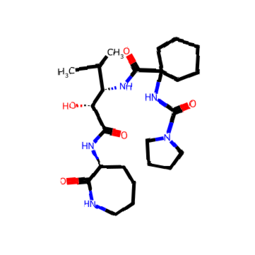 CC(C)[C@H](NC(=O)C1(NC(=O)N2CCCC2)CCCCC1)[C@@H](O)C(=O)N[C@H]1CCCCNC1=O